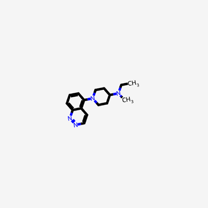 CCN(C)C1CCN(c2cccc3nnccc23)CC1